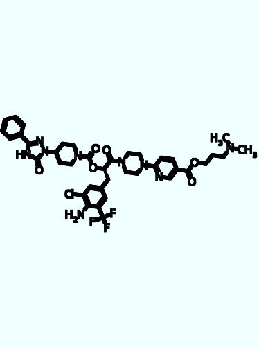 CN(C)CCCOC(=O)c1ccc(N2CCN(C(=O)[C@@H](Cc3cc(Cl)c(N)c(C(F)(F)F)c3)OC(=O)N3CCC(n4nc(-c5ccccc5)[nH]c4=O)CC3)CC2)nc1